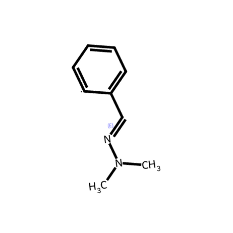 CN(C)/N=C/c1[c]cccc1